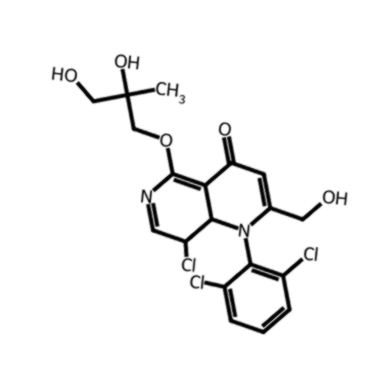 CC(O)(CO)COC1=C2C(=O)C=C(CO)N(c3c(Cl)cccc3Cl)C2C(Cl)C=N1